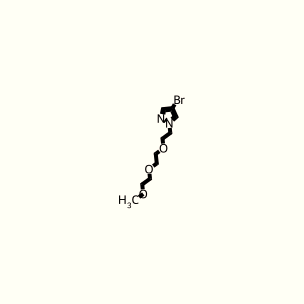 COCCOCCOCCn1cc(Br)cn1